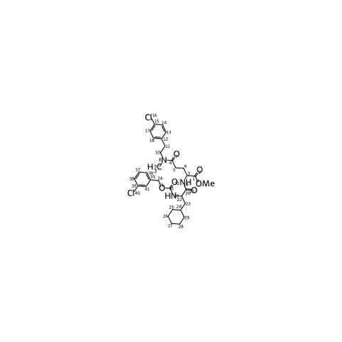 COC(=O)C(CCC(=O)N(C)CCc1ccc(Cl)cc1)NC(=O)C(CC1CCCCC1)NC(=O)OCc1cccc(Cl)c1